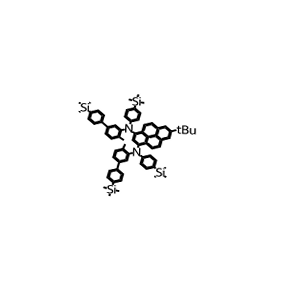 Cc1ccc(-c2ccc([Si](C)(C)C)cc2)cc1N(c1ccc([Si](C)(C)C)cc1)c1cc(N(c2ccc([Si](C)(C)C)cc2)c2cc(-c3ccc([Si](C)(C)C)cc3)ccc2C)c2ccc3cc(C(C)(C)C)cc4ccc1c2c43